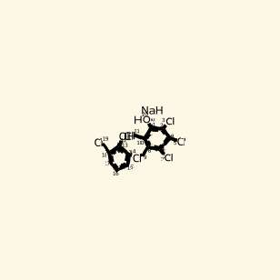 Oc1c(Cl)c(Cl)c(Cl)c(Cl)c1Cl.Oc1ccccc1Cl.[NaH]